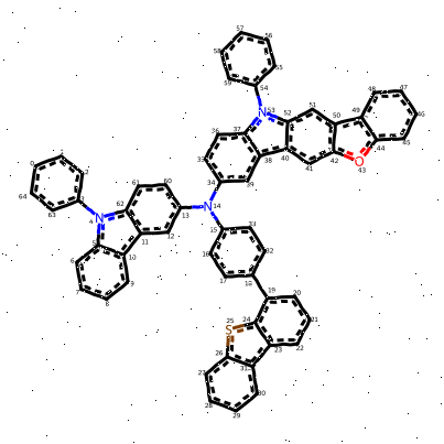 c1ccc(-n2c3ccccc3c3cc(N(c4ccc(-c5cccc6c5sc5ccccc56)cc4)c4ccc5c(c4)c4cc6oc7ccccc7c6cc4n5-c4ccccc4)ccc32)cc1